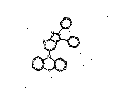 c1ccc(-c2nc3ncc(N4c5ccccc5Sc5ccccc54)cn3c2-c2ccccc2)cc1